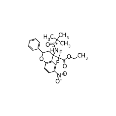 CCOC(=O)C(F)(F)[C@@]1(N[S+]([O-])C(C)(C)C)CC(c2ccccc2)Oc2ccc([N+](=O)[O-])cc21